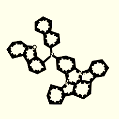 c1ccc2cc(N(c3ccc4c(c3)n3c5ccccc5c5ccc6c7ccccc7n4c6c53)c3cccc4c3oc3ccccc34)ccc2c1